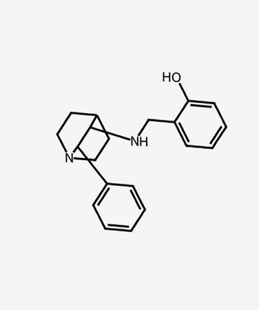 Oc1ccccc1CNC1C2CCN(CC2)C1c1ccccc1